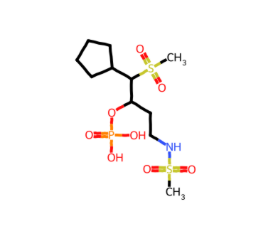 CS(=O)(=O)NCCC(OP(=O)(O)O)C(C1CCCC1)S(C)(=O)=O